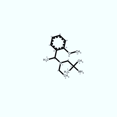 CCN(CC(C)(C)N)C(C)c1ccccc1OC